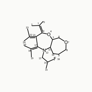 CC(C)=C1OC2COCCCC2N(CC(C)F)C(=C(C)C)C1=C(C)C